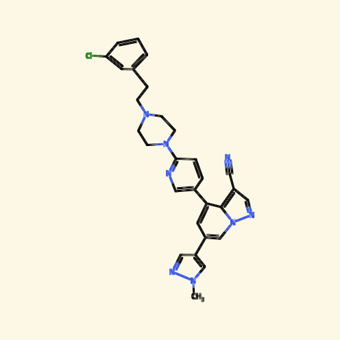 Cn1cc(-c2cc(-c3ccc(N4CCN(CCc5cccc(Cl)c5)CC4)nc3)c3c(C#N)cnn3c2)cn1